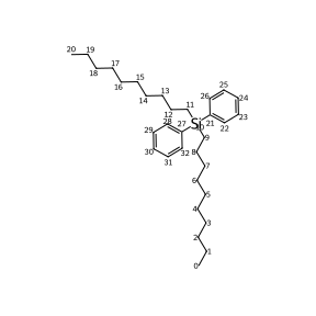 CCCCCCCCCC[Si](CCCCCCCCCC)(c1ccccc1)c1ccccc1